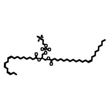 CC/C=C\C/C=C\C/C=C\CCCCCCCC(=O)O[C@H](COC(=O)CCCCCCCCCCC/C=C\CCCCCCCC)COP(=O)([O-])OCC[N+](C)(C)C